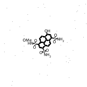 CONS(=O)(=O)c1cc(S(N)(=O)=O)c2ccc3c(S(N)(=O)=O)cc(O)c4ccc1c2c43